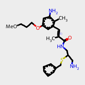 COCCCOc1cc(N)c(C)c(/C=C(\C)C(=O)NCC(CN)SCc2ccccc2)c1